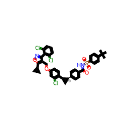 CC(C)(C)c1ccc(S(=O)(=O)NC(=O)c2ccc([C@@H]3CC3c3ccc(OCc4c(-c5c(Cl)cccc5Cl)noc4C4CC4)cc3Cl)cc2)cc1